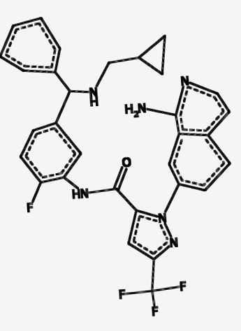 Nc1nccc2ccc(-n3nc(C(F)(F)F)cc3C(=O)Nc3cc(C(NCC4CC4)c4ccccc4)ccc3F)cc12